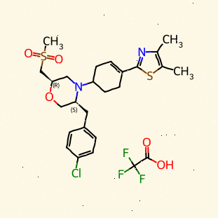 Cc1nc(C2=CCC(N3C[C@H](CS(C)(=O)=O)OC[C@@H]3Cc3ccc(Cl)cc3)CC2)sc1C.O=C(O)C(F)(F)F